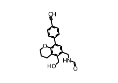 C#Cc1ccc(-c2cc(CNC=O)c(CO)c3c2OCCC3)cc1